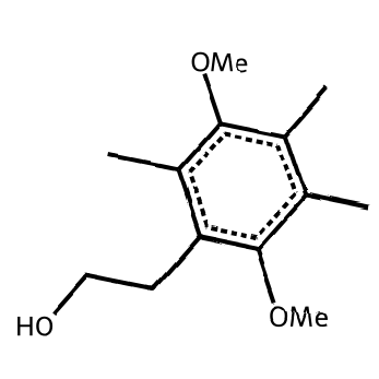 COc1c(C)c(C)c(OC)c(CCO)c1C